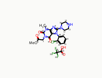 COC(=O)Cn1c(=O)c2c(nc(N3CCNCC3)n2-c2ccccc2Cl)n(C)c1=O.O=C(O)C(F)(F)F